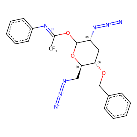 [N-]=[N+]=NC[C@H]1OC(O/C(=N/c2ccccc2)C(F)(F)F)[C@H](N=[N+]=[N-])C[C@@H]1OCc1ccccc1